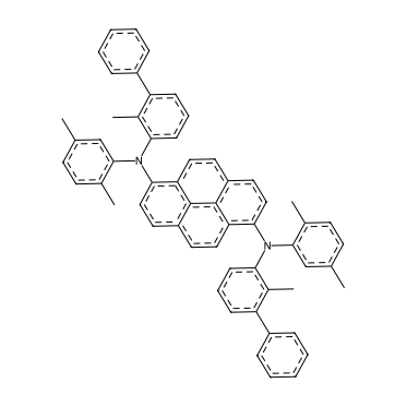 Cc1ccc(C)c(N(c2cccc(-c3ccccc3)c2C)c2ccc3ccc4c(N(c5cc(C)ccc5C)c5cccc(-c6ccccc6)c5C)ccc5ccc2c3c54)c1